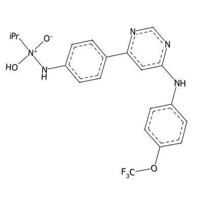 CC(C)[N+]([O-])(O)Nc1ccc(-c2cc(Nc3ccc(OC(F)(F)F)cc3)ncn2)cc1